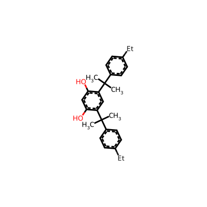 CCc1ccc(C(C)(C)c2cc(C(C)(C)c3ccc(CC)cc3)c(O)cc2O)cc1